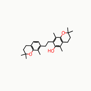 Cc1c(O)c(CCc2ccc3c(c2C)OC(C)(C)CC3)c(C)c2c1CCC(C)(C)O2